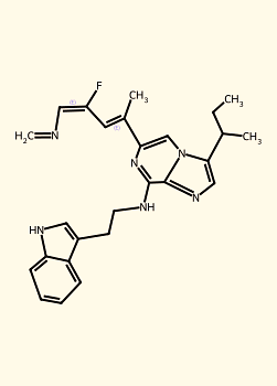 C=N/C=C(F)\C=C(/C)c1cn2c(C(C)CC)cnc2c(NCCc2c[nH]c3ccccc23)n1